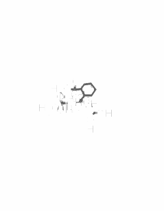 CC(C)(C)C1CCCCC1C(C)(C)C.O.O=C(O)O.O=C(O)O